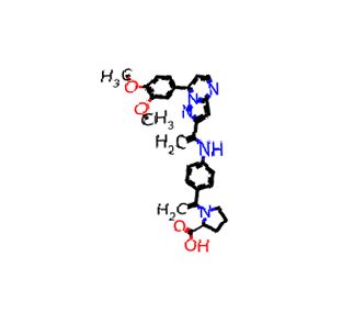 C=C(Nc1ccc(C(=C)N2CCC[C@H]2C(=O)O)cc1)c1cc2nccc(-c3ccc(OC)c(OC)c3)n2n1